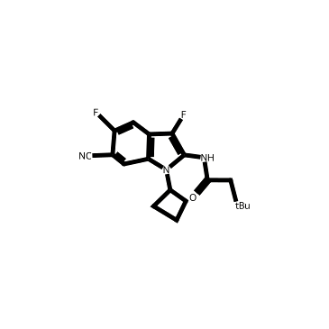 CC(C)(C)CC(=O)Nc1c(F)c2cc(F)c(C#N)cc2n1C1CCC1